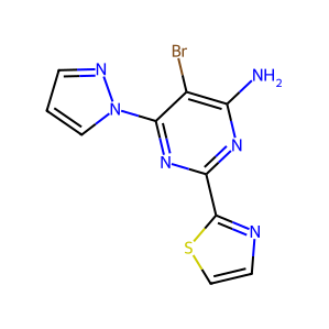 Nc1nc(-c2nccs2)nc(-n2cccn2)c1Br